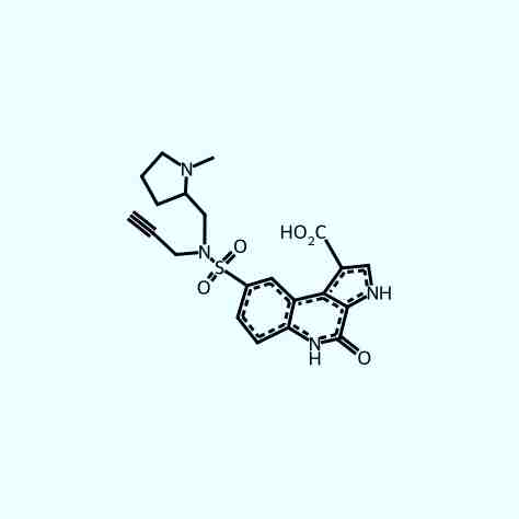 C#CCN(CC1CCCN1C)S(=O)(=O)c1ccc2[nH]c(=O)c3[nH]cc(C(=O)O)c3c2c1